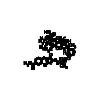 CN[C@H](C(=O)NC(C(=O)N(C)[C@H](/C=C(\C)C(=O)O)C(C)C)C(C)(C)C)C(C)(C)c1cccc(OCCC(C)(C)SSC2CC(=O)N(CC3CCC(C(N)=O)CC3)C2=O)c1